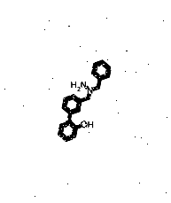 NN(Cc1ccccc1)Cc1cccc(-c2ccccc2O)c1